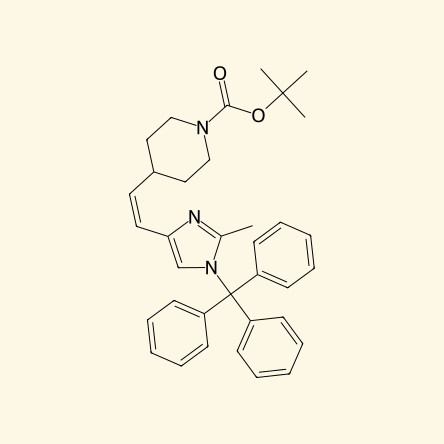 Cc1nc(/C=C\C2CCN(C(=O)OC(C)(C)C)CC2)cn1C(c1ccccc1)(c1ccccc1)c1ccccc1